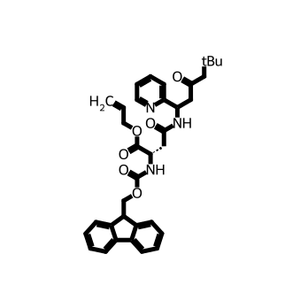 C=CCOC(=O)[C@H](CC(=O)NC(CC(=O)CC(C)(C)C)c1ccccn1)NC(=O)OCC1c2ccccc2-c2ccccc21